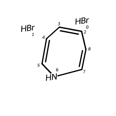 Br.Br.C1=CC=CNC=C1